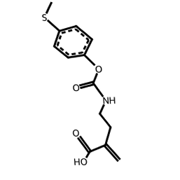 C=C(CCNC(=O)Oc1ccc(SC)cc1)C(=O)O